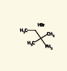 Br.CCC(C)(C)P